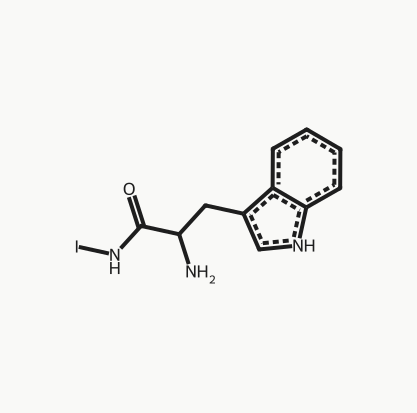 NC(Cc1c[nH]c2ccccc12)C(=O)NI